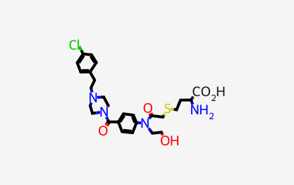 NC(CCSCC(=O)N(CCO)c1ccc(C(=O)N2CCN(CCc3ccc(Cl)cc3)CC2)cc1)C(=O)O